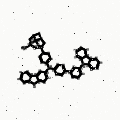 C[C@H]1CC2CC3CC(c4ccc(N(c5ccc(-c6cccc(-n7c8ccccc8c8ccccc87)c6)cc5)c5ccc6sc7ccccc7c6c5)cc4)(C1)C[C@H]23